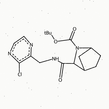 CC(C)(C)OC(=O)N1C2CCC(C2)C1C(=O)NCc1nccnc1Cl